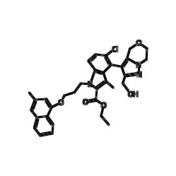 CCOC(=O)c1c(C)c2c(-c3c(CO)nn4c3COCC4)c(Cl)ccc2n1CCCOc1cc(C)cc2ccccc12